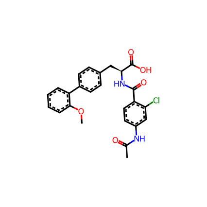 COc1ccccc1-c1ccc(C[C@H](NC(=O)c2ccc(NC(C)=O)cc2Cl)C(=O)O)cc1